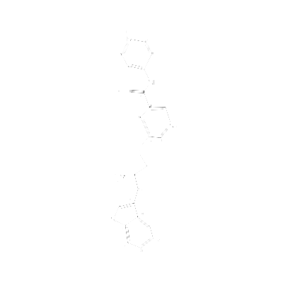 N[C@H](COc1cncc(C(=O)Nc2ccncc2)c1)Cc1c[nH]c2ccccc12